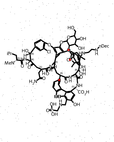 CCCCCCCCCCNCCNC1(C)CC(OC2C(Oc3c4cc5cc3Oc3ccc(cc3Cl)[C@@H](O)[C@@H](NC(=O)[C@@H](CC(C)C)NC)C(=O)C[C@@H](CC(N)=O)C(=O)N[C@H]5C(=O)C[C@H]3C(=O)N[C@H](C(=O)N[C@H](C(=O)O)c5cc(O)c(CNCP(=O)(O)O)c(O)c5-c5cc3ccc5O)[C@H](O)c3ccc(c(Cl)c3)O4)OC(CO)C(O)C2O)OC(C)C1O